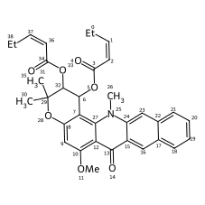 CC/C=C\C(=O)OC1c2c(cc(OC)c3c(=O)c4cc5ccccc5cc4n(C)c23)OC(C)(C)C1OC(=O)/C=C\CC